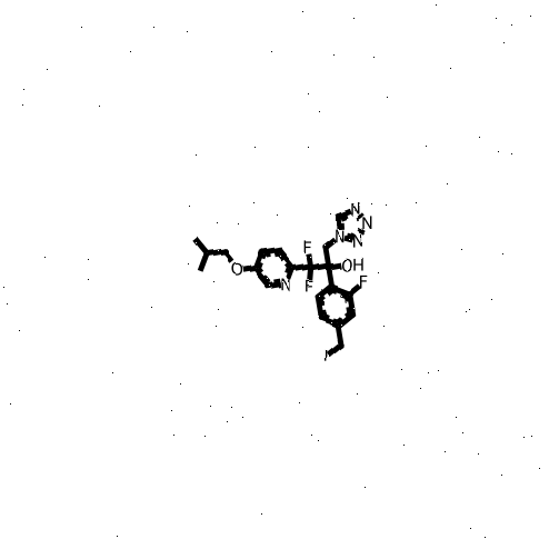 CC(C)COc1ccc(C(F)(F)C(O)(Cn2cnnn2)c2ccc(CI)cc2F)nc1